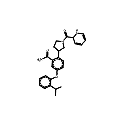 CC(C)c1ccccc1Oc1ccc(C2CCN(C(=O)C3C=CC=CN3)C2)c(C(N)=O)c1